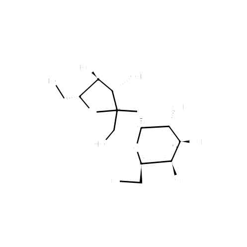 OC[C@H]1OC(CO)(O[C@H]2O[C@H](CO)[C@H](Cl)[C@H](O)[C@H]2O)[C@@H](O)[C@@H]1O